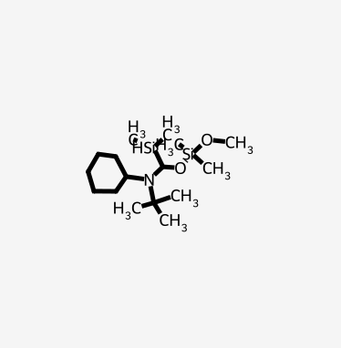 CO[Si](C)(C)OC(N(C1CCCCC1)C(C)(C)C)[SiH](C)C